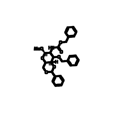 CO[C@H]1OC2COC(c3ccccc3)O[C@H]2C(OCc2ccccc2)C1NC(=O)OCc1ccccc1